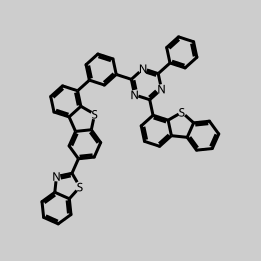 c1ccc(-c2nc(-c3cccc(-c4cccc5c4sc4ccc(-c6nc7ccccc7s6)cc45)c3)nc(-c3cccc4c3sc3ccccc34)n2)cc1